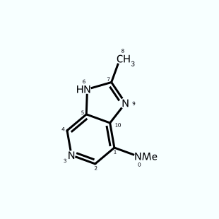 CNc1cncc2[nH]c(C)nc12